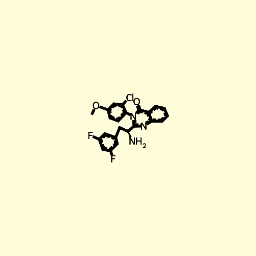 COc1ccc(-n2c([C@@H](N)Cc3cc(F)cc(F)c3)nc3ccccc3c2=O)c(Cl)c1